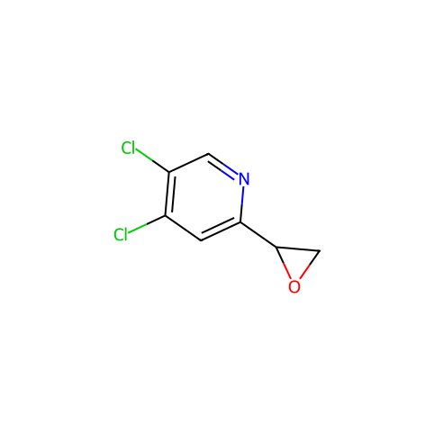 Clc1cnc(C2CO2)cc1Cl